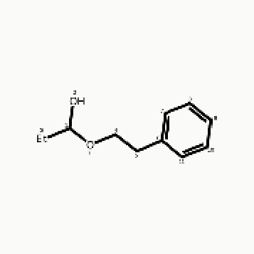 CCC(O)OCCc1ccccc1